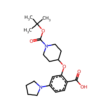 CC(C)(C)OC(=O)N1CCC(Oc2cc(N3CCCC3)ccc2C(=O)O)CC1